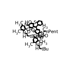 CCCCCC(C)N(c1cc2c(-c3ccccc3S(=O)(=O)O)c3cc/c(=N/c4c(C)cc(C)c(NC(=O)CC(C)(C)C)c4C)cc-3oc2cc1Nc1c(C)cc(C)c(NC(=O)CC(C)(C)C)c1C)[SH](=O)=O